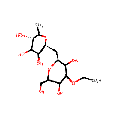 CC1O[C@@H](C[C@@H]2OC(CO)[C@H](O)C(OCC(=O)O)C2O)C(O)C(O)[C@@H]1O